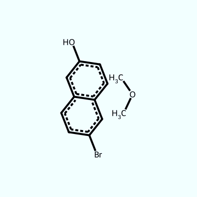 COC.Oc1ccc2cc(Br)ccc2c1